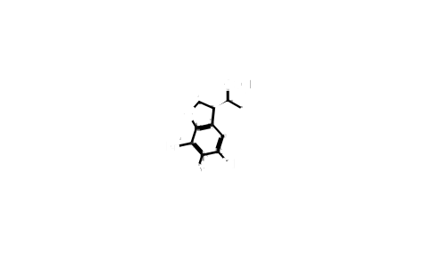 CC(C(=O)O)[C@@H]1COc2c1cc(Cl)c(O)c2Br